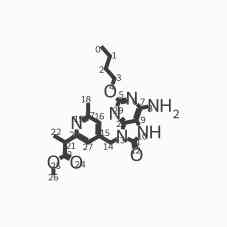 CCCCOc1nc(N)c2[nH]c(=O)n(Cc3cc(C)nc(C(C)C(=O)OC)c3)c2n1